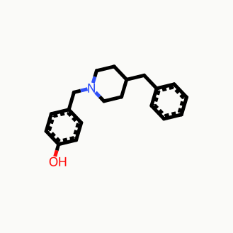 Oc1ccc(CN2CCC(Cc3ccccc3)CC2)cc1